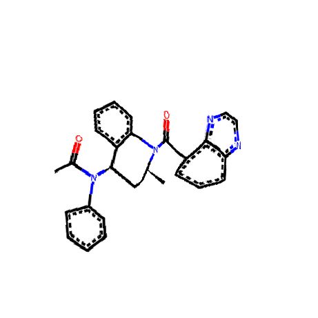 CC(=O)N(c1ccccc1)[C@@H]1C[C@H](C)N(C(=O)c2cccc3nccnc23)c2ccccc21